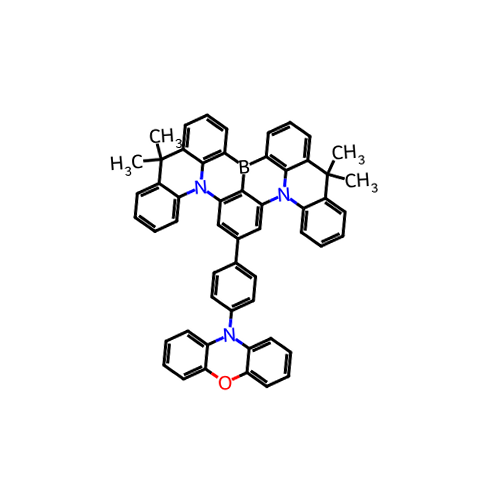 CC1(C)c2ccccc2N2c3cc(-c4ccc(N5c6ccccc6Oc6ccccc65)cc4)cc4c3B(c3cccc1c32)c1cccc2c1N4c1ccccc1C2(C)C